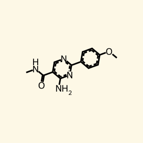 CNC(=O)c1cnc(-c2ccc(OC)cc2)nc1N